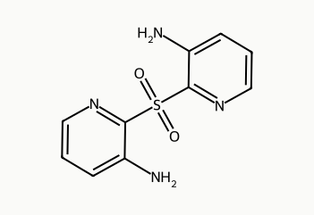 Nc1cccnc1S(=O)(=O)c1ncccc1N